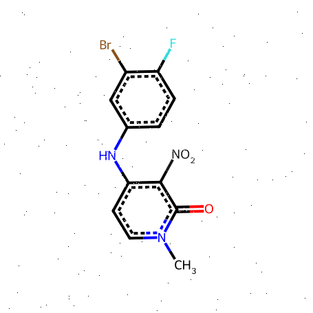 Cn1ccc(Nc2ccc(F)c(Br)c2)c([N+](=O)[O-])c1=O